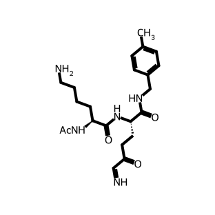 CC(=O)N[C@@H](CCCCN)C(=O)N[C@@H](CCC(=O)C=N)C(=O)NCc1ccc(C)cc1